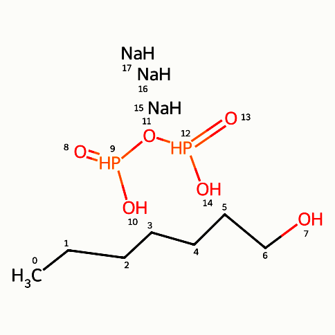 CCCCCCCO.O=[PH](O)O[PH](=O)O.[NaH].[NaH].[NaH]